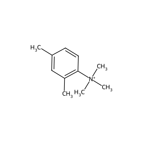 Cc1ccc([N+](C)(C)C)c(C)c1